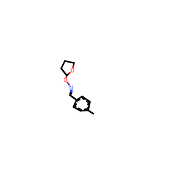 Cc1ccc(C=NOC2CCCO2)cc1